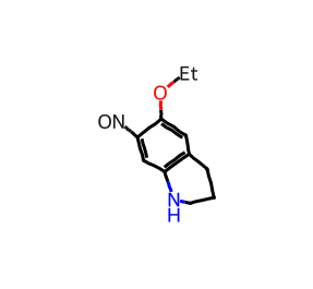 CCOc1cc2c(cc1N=O)NCCC2